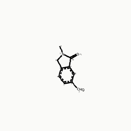 CN1Cc2ccc(C=O)cc2C1=O